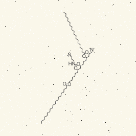 CCCCCCCCCCCCCCCCCCCC(=O)OCCCCCCC(CCCCCC(CCCN(C)C)OC(=O)CCCCCCCCCCCCCCCCCCC)OC(=O)NCCCN(C)C